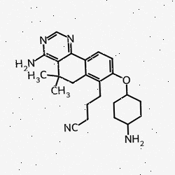 CC1(C)Cc2c(ccc(OC3CCC(N)CC3)c2CCCC#N)-c2ncnc(N)c21